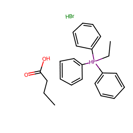 Br.CCCC(=O)O.CC[PH](c1ccccc1)(c1ccccc1)c1ccccc1